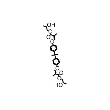 CC(=COc1ccc(C(C)(C)c2ccc(OC=C(C)C(=O)OCC(C)O)cc2)cc1)C(=O)OCC(C)O